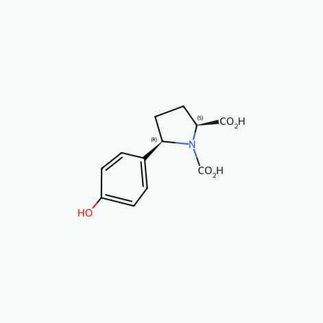 O=C(O)[C@@H]1CC[C@H](c2ccc(O)cc2)N1C(=O)O